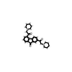 O=C(CN1CCCCC1)c1ccc2c(c1)C(=O)c1cccc(C(=O)CN3CCCCC3)c1-2